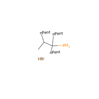 Br.CCCCCC(C)C(P)(CCCCC)CCCCC